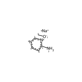 C[O-].Nc1ccncn1.[Na+]